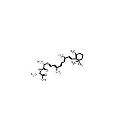 CC(C=CC1=C(C)CCCC1(C)C)=CC=CC(C)=CC=N[C@@H](C)C(=O)N[C@@H](C)C(=O)O